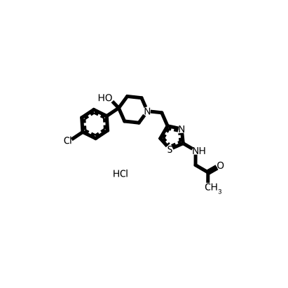 CC(=O)CNc1nc(CN2CCC(O)(c3ccc(Cl)cc3)CC2)cs1.Cl